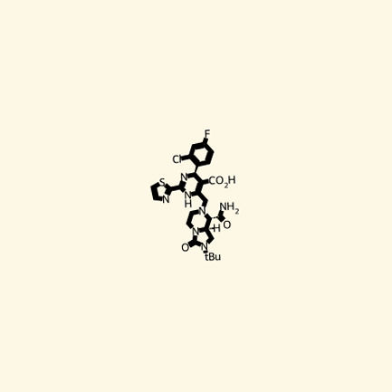 CC(C)(C)N1C[C@@H]2[C@@H](C(N)=O)N(CC3=C(C(=O)O)[C@H](c4ccc(F)cc4Cl)N=C(c4nccs4)N3)CCN2C1=O